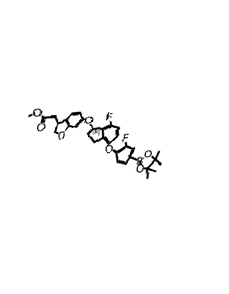 COC(=O)CC1COc2cc(O[C@@H]3CCc4c(Oc5ccc(B6OC(C)(C)C(C)(C)O6)cc5F)ccc(F)c43)ccc21